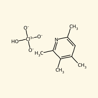 Cc1cc(C)c(C)c(C)n1.[O-][Cl+3]([O-])([O-])O